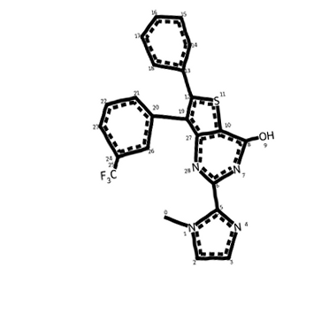 Cn1ccnc1-c1nc(O)c2sc(-c3ccccc3)c(-c3cccc(C(F)(F)F)c3)c2n1